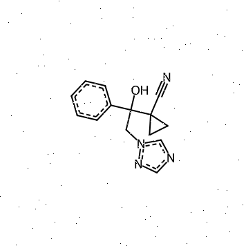 N#CC1(C(O)(Cn2cncn2)c2ccccc2)CC1